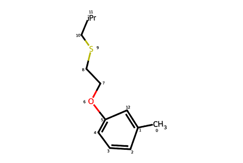 Cc1cccc(OCCSCC(C)C)c1